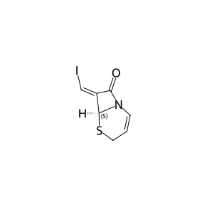 O=C1C(=CI)[C@@H]2SCC=CN12